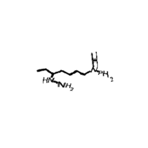 CCC(CCCCNP)NN